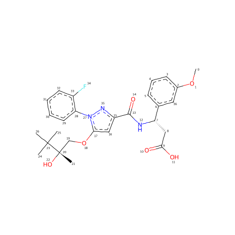 COc1cccc([C@H](CC(=O)O)NC(=O)c2cc(OC[C@](C)(O)C(C)(C)C)n(-c3ccccc3F)n2)c1